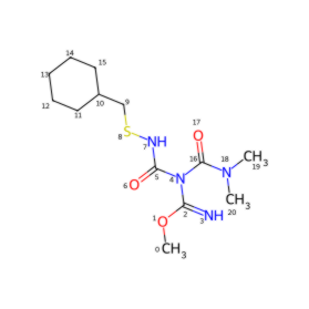 COC(=N)N(C(=O)NSCC1CCCCC1)C(=O)N(C)C